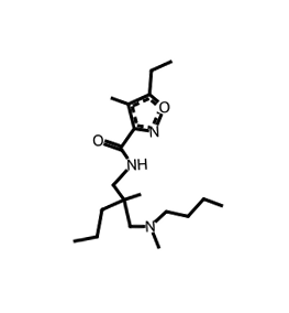 CCCCN(C)CC(C)(CCC)CNC(=O)c1noc(CC)c1C